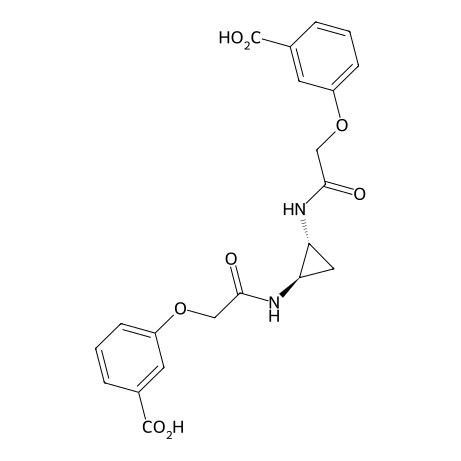 O=C(COc1cccc(C(=O)O)c1)N[C@@H]1C[C@H]1NC(=O)COc1cccc(C(=O)O)c1